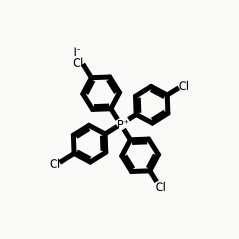 Clc1ccc([P+](c2ccc(Cl)cc2)(c2ccc(Cl)cc2)c2ccc(Cl)cc2)cc1.[I-]